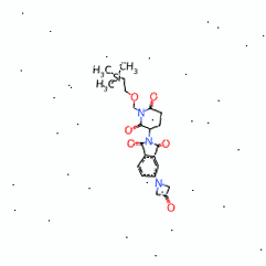 C[Si](C)(C)CCOCN1C(=O)CCC(N2C(=O)c3ccc(N4CC(=O)C4)cc3C2=O)C1=O